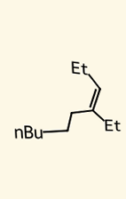 CCC=C(CC)CCCCCC